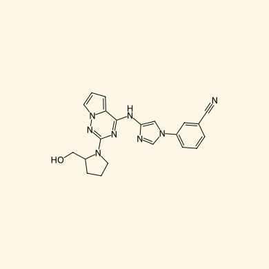 N#Cc1cccc(-n2cnc(Nc3nc(N4CCCC4CO)nn4cccc34)c2)c1